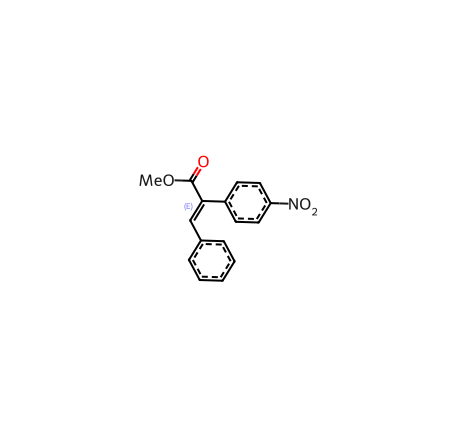 COC(=O)/C(=C/c1ccccc1)c1ccc([N+](=O)[O-])cc1